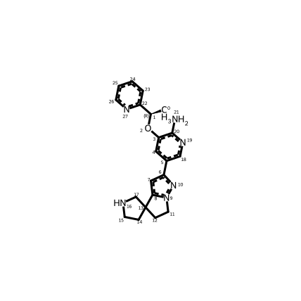 C[C@@H](Oc1cc(-c2cc3n(n2)CCC32CCNC2)cnc1N)c1ccccn1